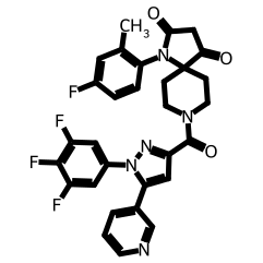 Cc1cc(F)ccc1N1C(=O)CC(=O)C12CCN(C(=O)c1cc(-c3cccnc3)n(-c3cc(F)c(F)c(F)c3)n1)CC2